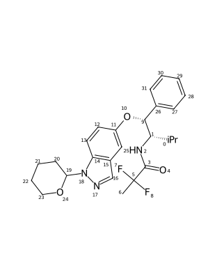 CC(C)[C@H](NC(=O)C(C)(F)F)[C@H](Oc1ccc2c(cnn2C2CCCCO2)c1)c1ccccc1